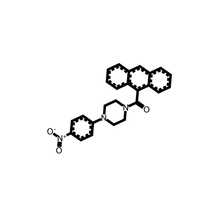 O=C(c1c2ccccc2cc2ccccc12)N1CCN(c2ccc([N+](=O)[O-])cc2)CC1